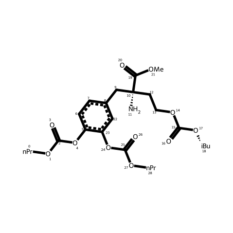 CCCOC(=O)Oc1ccc(C[C@](N)(CCOC(=O)O[C@@H](C)CC)C(=O)OC)cc1OC(=O)OCCC